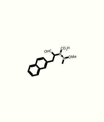 CON(C)N(C(=O)O)C(C=O)Cc1ccc2ccccc2c1